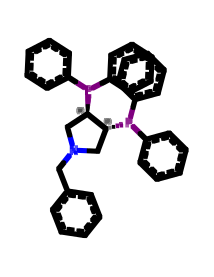 c1ccc(CN2C[C@@H](P(c3ccccc3)c3ccccc3)[C@H](P(c3ccccc3)c3ccccc3)C2)cc1